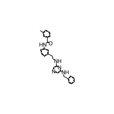 Cc1cccc(C(=O)Nc2cccc(CCNc3cncc(NCc4ccccc4)n3)c2)c1